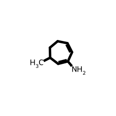 CC1C=C(N)C=CCC1